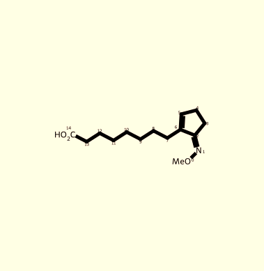 CON=C1CCC=C1CCCCCCCC(=O)O